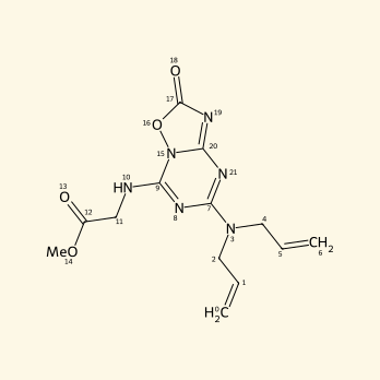 C=CCN(CC=C)c1nc(NCC(=O)OC)n2oc(=O)nc2n1